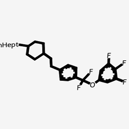 CCCCCCCC1CCC(CCc2ccc(C(F)(F)Oc3cc(F)c(F)c(F)c3)cc2)CC1